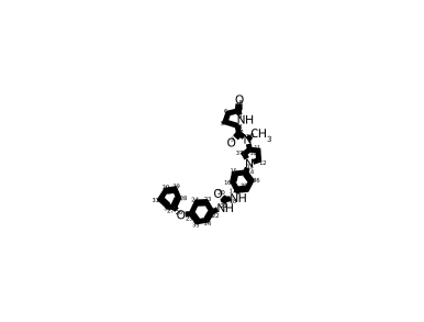 CN(C(=O)C1CCC(=O)N1)C1CCN(c2ccc(NC(=O)Nc3ccc(Oc4ccccc4)cc3)cc2)C1